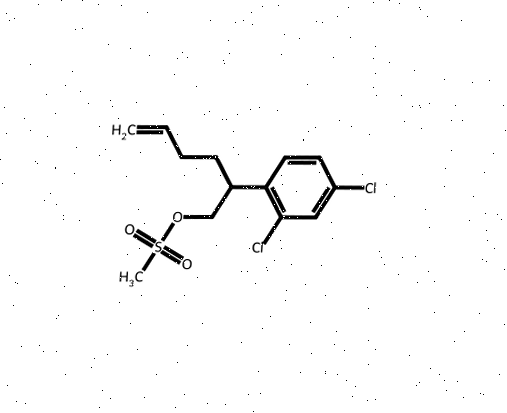 C=CCCC(COS(C)(=O)=O)c1ccc(Cl)cc1Cl